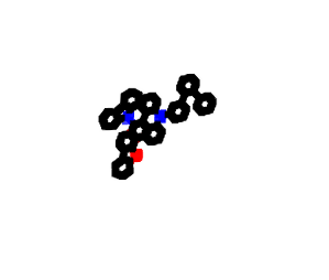 c1ccc(-c2ccccc2-c2cccc(N(c3cccc(-c4cccc5c4oc4ccccc45)c3)c3ccccc3-c3ccccc3-n3c4ccccc4c4ccccc43)c2)cc1